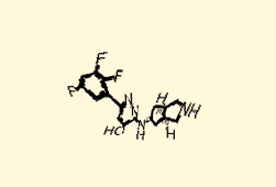 Cl.Fc1cc(F)c(F)c(-c2ccc(N[C@@H]3C[C@H]4CNC[C@H]4C3)nn2)c1